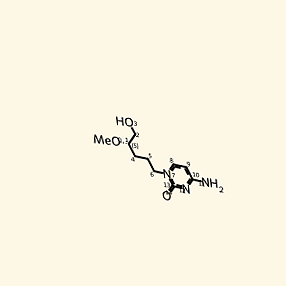 CO[C@H](CO)CCCn1ccc(N)nc1=O